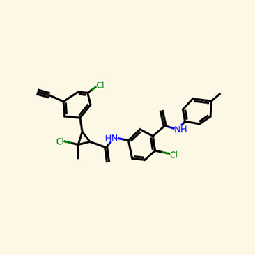 C#Cc1cc(Cl)cc(C2C(C(=C)Nc3ccc(Cl)c(C(=C)Nc4ccc(C)cc4)c3)C2(C)Cl)c1